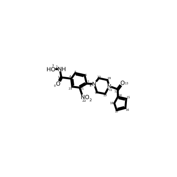 O=C(NO)c1ccc(N2CCN(C(=O)C3=CC=CC3)CC2)c([N+](=O)[O-])c1